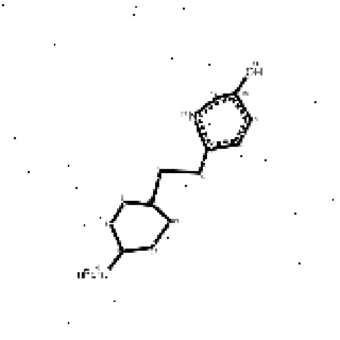 CCCCCC1CCC(CCc2ccc(O)cn2)CC1